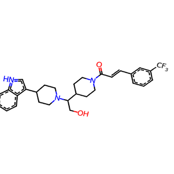 O=C(C=Cc1cccc(C(F)(F)F)c1)N1CCC(C(CO)N2CCC(c3c[nH]c4ccccc34)CC2)CC1